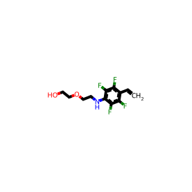 C=Cc1c(F)c(F)c(NCCOCCO)c(F)c1F